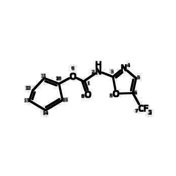 O=C(Nc1ncc(C(F)(F)F)o1)Oc1ccccc1